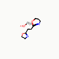 C1COC(CCC2=NCCO2)=N1.O=C(O)O